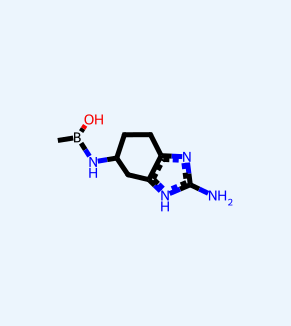 CB(O)NC1CCc2nc(N)[nH]c2C1